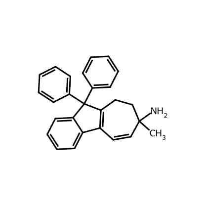 CC1(N)C=CC2=C(CC1)C(c1ccccc1)(c1ccccc1)c1ccccc12